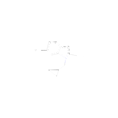 COc1ccc2cc(C=O)n(CC3CC3)c2c1